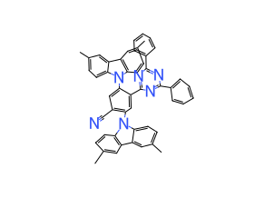 Cc1ccc2c(c1)c1cc(C)ccc1n2-c1cc(-c2nc(-c3ccccc3)nc(-c3ccccc3)n2)c(-n2c3ccc(C)cc3c3cc(C)ccc32)cc1C#N